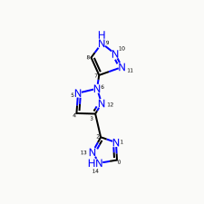 c1nc(-c2cnn(-c3c[nH]nn3)n2)n[nH]1